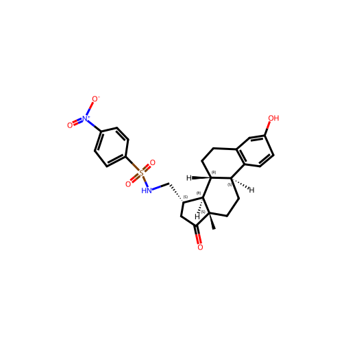 C[C@]12CC[C@@H]3c4ccc(O)cc4CC[C@H]3[C@@H]1[C@@H](CNS(=O)(=O)c1ccc([N+](=O)[O-])cc1)CC2=O